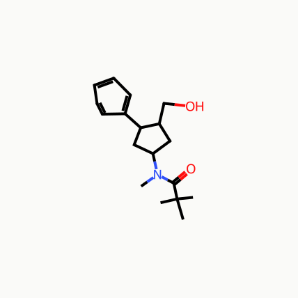 CN(C(=O)C(C)(C)C)C1CC(CO)C(c2ccccc2)C1